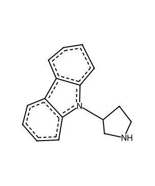 c1ccc2c(c1)c1ccccc1n2C1CCNC1